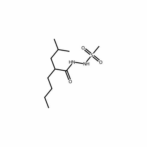 CCCCC(CC(C)C)C(=O)NNS(C)(=O)=O